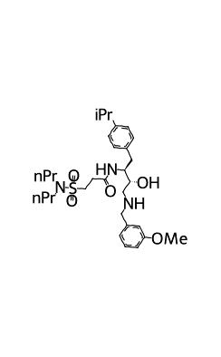 CCCN(CCC)S(=O)(=O)CCC(=O)N[C@@H](Cc1ccc(C(C)C)cc1)[C@H](O)CNCc1cccc(OC)c1